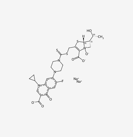 C[C@@H](O)[C@@H]1C[N+]2([O-])C(C(=O)[O-])=C(CSC(=S)N3CCN(c4cc5c(cc4F)c(=O)c(C(=O)[O-])cn5C4CC4)CC3)S[C@H]12.[Na+].[Na+]